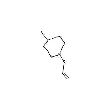 C=CSN1CCC(C)CC1